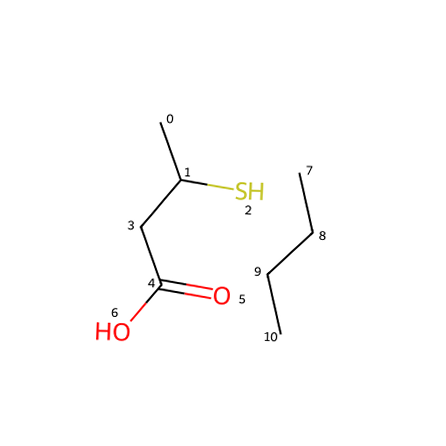 CC(S)CC(=O)O.CCCC